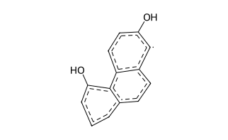 Oc1[c]c2ccc3cccc(O)c3c2cc1